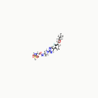 CN(CCON=C1CCN(c2ncc(-c3cccc(CO[Si](C)(C)C(C)(C)C)c3F)cn2)CC1)S(C)(=O)=O